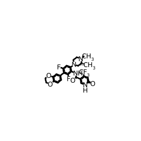 C[C@H]1CN(c2cc(F)c(-c3ccc4c(c3)OCCO4)c(F)c2NC(=O)c2c[nH]c(=O)cc2C(F)(F)F)CCN1C